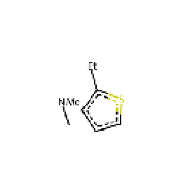 CCc1cccs1.CNC